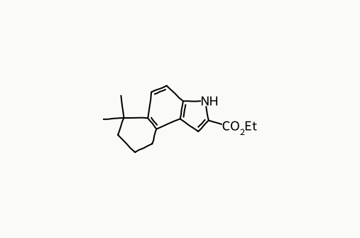 CCOC(=O)c1cc2c3c(ccc2[nH]1)C(C)(C)CCC3